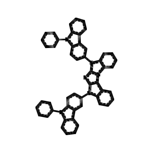 c1ccc(-n2c3ccccc3c3cc(-n4c5ccccc5c5c4nc4n(-c6ccc7c(c6)c6ccccc6n7-c6ccccc6)c6ccccc6n54)ccc32)cc1